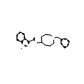 CCCn1nc(C(=O)NC2CCCN(Cc3ccccc3)CCC2)c2ccccc21